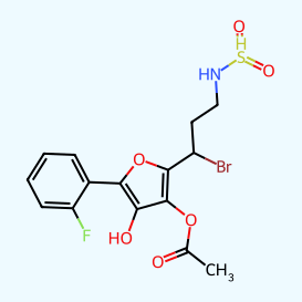 CC(=O)Oc1c(C(Br)CCN[SH](=O)=O)oc(-c2ccccc2F)c1O